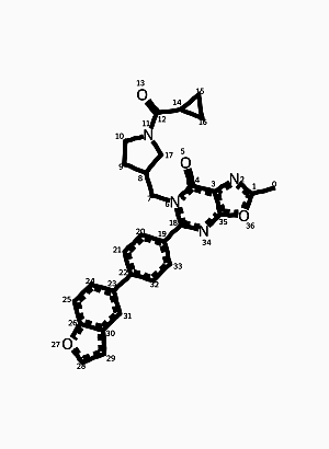 Cc1nc2c(=O)n(CC3CCN(C(=O)C4CC4)C3)c(-c3ccc(-c4ccc5occc5c4)cc3)nc2o1